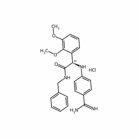 COc1cccc([C@@H](Nc2ccc(C(=N)N)cc2)C(=O)NCc2ccccc2)c1OC.Cl